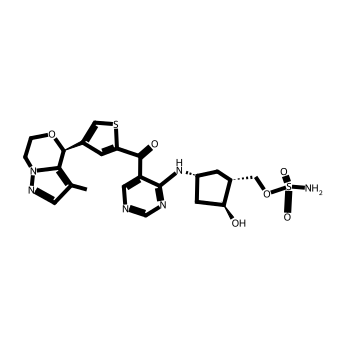 Cc1cnn2c1[C@H](c1csc(C(=O)c3cncnc3N[C@@H]3C[C@H](COS(N)(=O)=O)[C@@H](O)C3)c1)OCC2